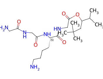 CC(C)C(CC(C)(C)C)OC(=O)CNC(=O)[C@H](CCCCN)NC(=O)CNC(=O)CN